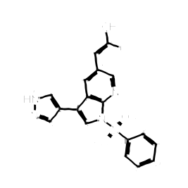 CC(C)=Cc1cnc2c(c1)c(-c1cn[nH]c1)cn2S(=O)(=O)c1ccccc1